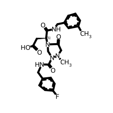 Cc1cccc(CNC(=O)[C@H](CC(=O)O)N2CN(C(=O)NCc3ccc(F)cc3)N(C)CC2=O)c1